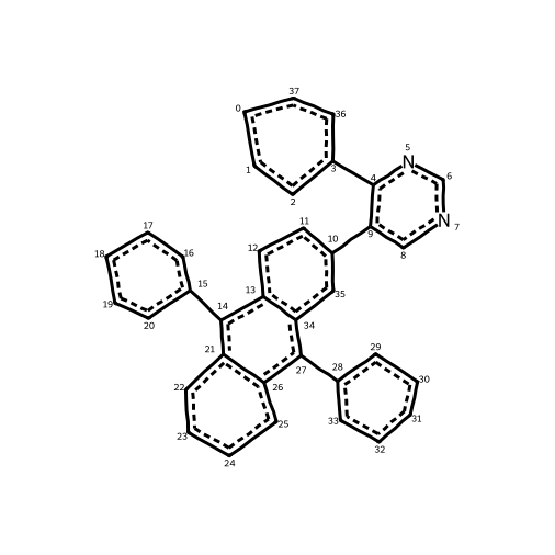 c1ccc(-c2ncncc2-c2ccc3c(-c4ccccc4)c4ccccc4c(-c4ccccc4)c3c2)cc1